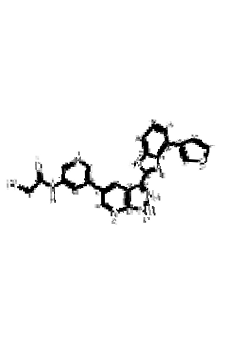 CC(C)CC(=O)Nc1cncc(-c2cnc3[nH]nc(-c4nc5c(-c6ccoc6)cccc5[nH]4)c3c2)c1